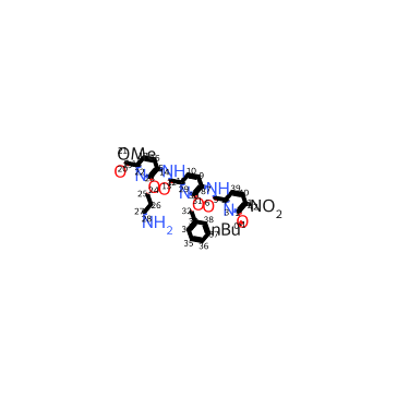 CCCCOc1nc(C(=O)Nc2ccc(C(=O)Nc3ccc(C(=O)OC)nc3OCCCN)nc2OCc2ccccc2)ccc1[N+](=O)[O-]